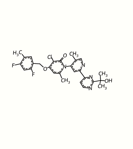 Cc1cc(COc2cc(C)n(-c3cc(-c4ccnc(C(C)(C)O)n4)ncc3C)c(=O)c2Cl)c(F)cc1F